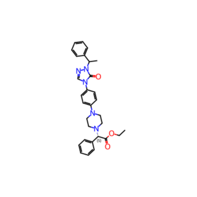 CCOC(=O)[C@H](c1ccccc1)N1CCN(c2ccc(-n3cnn(C(C)c4ccccc4)c3=O)cc2)CC1